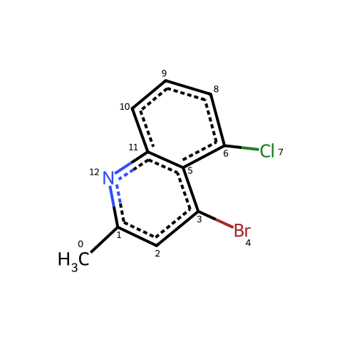 Cc1cc(Br)c2c(Cl)cccc2n1